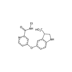 CCNC(=O)c1cc(Oc2ccc3c(c2)C(C(=O)O)CN3)ccn1